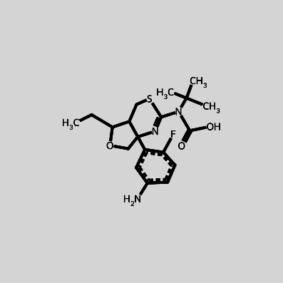 CCC1OCC2(c3cc(N)ccc3F)N=C(N(C(=O)O)C(C)(C)C)SCC12